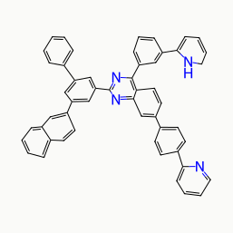 C1=CCNC(c2cccc(-c3nc(-c4cc(-c5ccccc5)cc(-c5ccc6ccccc6c5)c4)nc4cc(-c5ccc(-c6ccccn6)cc5)ccc34)c2)=C1